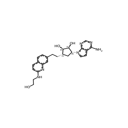 Nc1ncnc2c1ccn2[C@@H]1C[C@H](CCc2ccc3ccc(NCCO)nc3c2)[C@@H](O)[C@H]1O